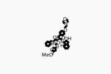 COC[C@H]1C[C@H](OC(=O)N[C@@H](Cc2ccccc2)[C@@H](O)C[C@@H](Cc2ccc(OCCN3CCOCC3)cc2)C(=O)N[C@H]2c3ccccc3C[C@H]2O)CO1